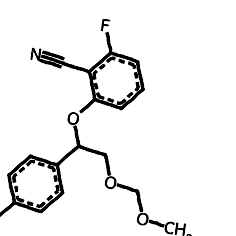 COCOCC(Oc1cccc(F)c1C#N)c1ccc(Cl)cc1